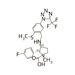 CSc1ccc(-n2nnnc2C(F)(F)F)cc1CN[C@H]1CC[C@](C)(C(=O)O)[C@@H]1c1ccc(F)cc1